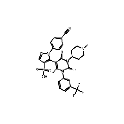 Cc1c(-c2c(S(=O)(=O)O)cnn2-c2ccc(C#N)cc2)c(=O)n(C2CCN(C)CC2)c(=O)n1-c1cccc(C(F)(F)F)c1